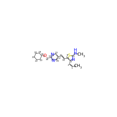 C/C=C\c1nc(NC)sc1/C=C/c1cnc(COC2CCCCC2)nc1